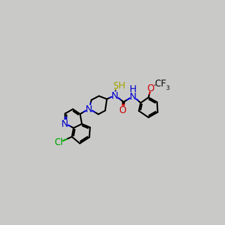 O=C(Nc1ccccc1OC(F)(F)F)N(S)C1CCN(c2ccnc3c(Cl)cccc23)CC1